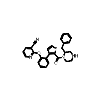 N#Cc1cccnc1Oc1ccccc1-c1ccsc1C(=O)N1CCNCC1Cc1ccccc1